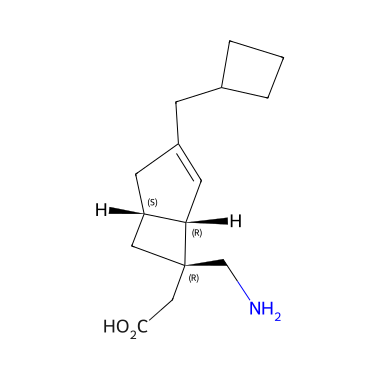 NC[C@@]1(CC(=O)O)C[C@@H]2CC(CC3CCC3)=C[C@@H]21